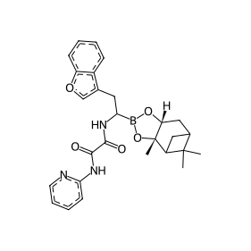 CC1(C)C2CC1[C@]1(C)OB(C(Cc3coc4ccccc34)NC(=O)C(=O)Nc3ccccn3)O[C@@H]1C2